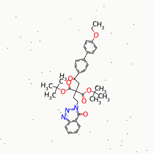 CCOc1ccc(-c2ccc(C(=O)CC(CCn3nnc4ccccc4c3=O)(C(=O)OC(C)(C)C)C(=O)OC(C)(C)C)cc2)cc1